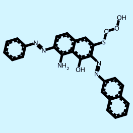 Nc1c(N=Nc2ccccc2)ccc2cc(SOOO)c(N=Nc3ccc4ccccc4c3)c(O)c12